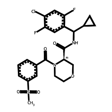 CS(=O)(=O)c1cccc(C(=O)N2CCOC[C@@H]2C(=O)NC(c2cc(F)c(Cl)cc2F)C2CC2)c1